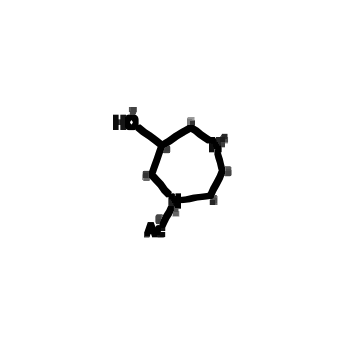 CC(=O)N1CC[N]CC(O)C1